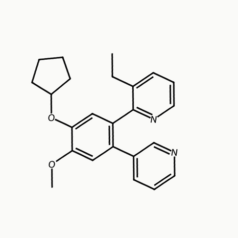 CCc1cccnc1-c1cc(OC2CCCC2)c(OC)cc1-c1cccnc1